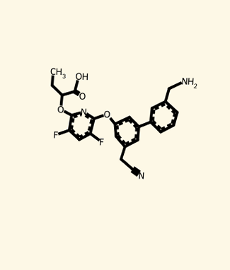 CCC(Oc1nc(Oc2cc(CC#N)cc(-c3cccc(CN)c3)c2)c(F)cc1F)C(=O)O